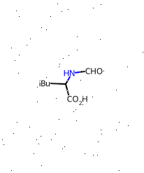 CCC(C)C(N[C]=O)C(=O)O